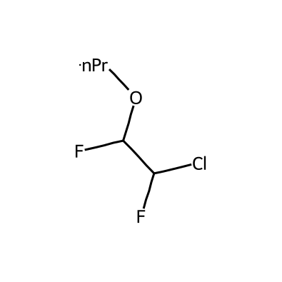 CC[CH]OC(F)C(F)Cl